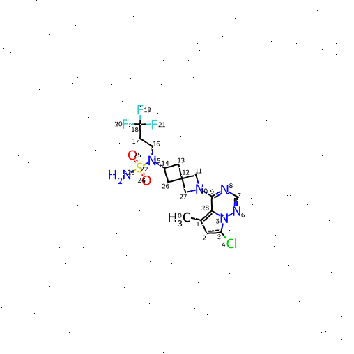 Cc1cc(Cl)n2ncnc(N3CC4(CC(N(CCC(F)(F)F)S(N)(=O)=O)C4)C3)c12